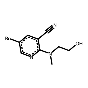 CN(CCO)c1ncc(Br)cc1C#N